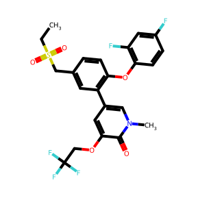 CCS(=O)(=O)Cc1ccc(Oc2ccc(F)cc2F)c(-c2cc(OCC(F)(F)F)c(=O)n(C)c2)c1